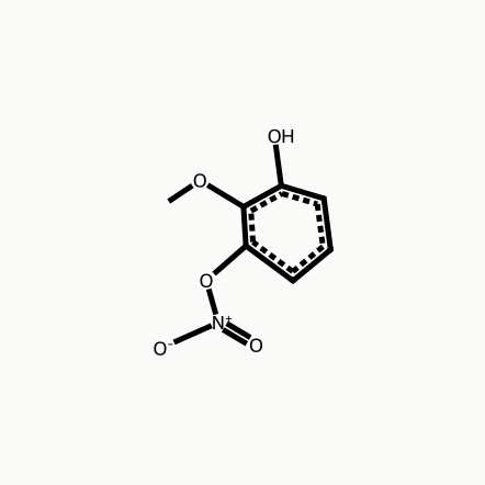 COc1c(O)cccc1O[N+](=O)[O-]